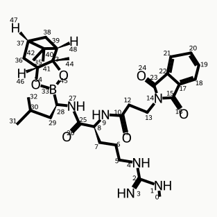 CNC(=N)NCCC[C@H](NC(=O)CCN1C(=O)c2ccccc2C1=O)C(=O)N[C@@H](CC(C)C)B1O[C@@H]2C[C@@H]3C[C@@H](C3(C)C)[C@]2(C)O1